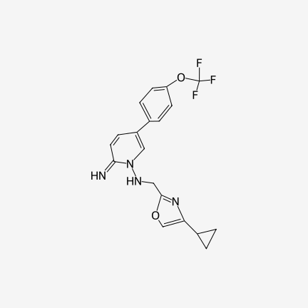 N=c1ccc(-c2ccc(OC(F)(F)F)cc2)cn1NCc1nc(C2CC2)co1